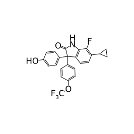 O=C1Nc2c(ccc(C3CC3)c2F)C1(c1ccc(O)cc1)c1ccc(OC(F)(F)F)cc1